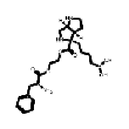 N[C@@H](Cc1ccccc1)C(=O)OCCOC(=O)[C@]1(CCCCB(O)O)NC[C@@H]2NCC[C@@H]21